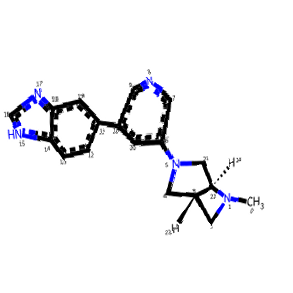 CN1C[C@@H]2CN(c3cncc(-c4ccc5[nH]cnc5c4)c3)C[C@H]21